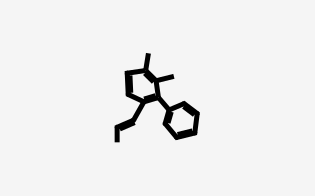 CC=Cc1ccc(C)c(C)c1-c1ccccc1